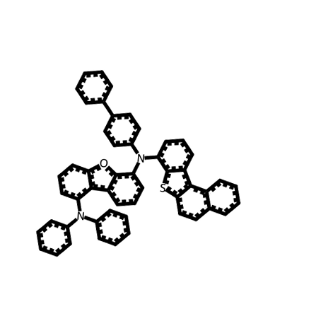 c1ccc(-c2ccc(N(c3cccc4c3oc3cccc(N(c5ccccc5)c5ccccc5)c34)c3cccc4c3sc3ccc5ccccc5c34)cc2)cc1